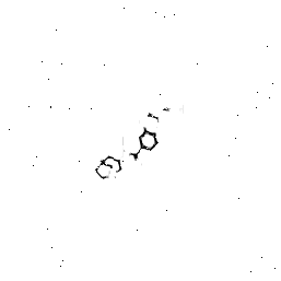 O=C(N[C@@H]1C[C@H]2CCN(C2)C1)c1ccc2c(c1)OC[C@@H](CO)O2